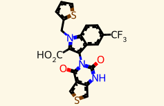 O=C(O)c1c(-n2c(=O)[nH]c3cscc3c2=O)c2cc(C(F)(F)F)ccc2n1Cc1cccs1